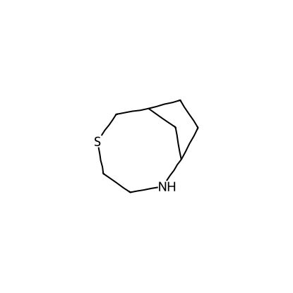 C1CSCC2CCC(C2)N1